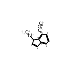 [CH3][Ti+3][CH]1C=Cc2ccccc21.[Cl-].[Cl-].[Cl-]